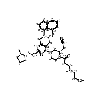 CN1CCC[C@H]1COc1nc2c(c(N3CCN(C(=O)CCNCCO)[C@@H](CC#N)C3)n1)CCN(c1cccc3cccc(Cl)c13)C2